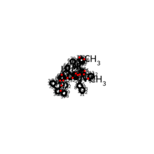 CCCCN(P(c1ccc2ccccc2c1)c1ccc2c3cc(cc2c1)-c1cc(P2c4ccccc4-c4ccccc4N2P2[C@H](c4ccccc4)CC[C@H]2c2ccccc2)ccc1Cc1ccc([C@@H]2CC[C@@H](c4ccc(C)cc4)P2N(C)P(c2ccccc2)c2ccccc2)cc1-3)P1[C@H](c2ccccc2)CC[C@H]1c1ccccc1